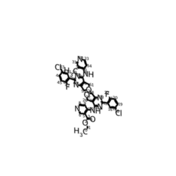 CCOC(=O)c1cnccc1Nc1nc(-c2cc(Cl)ccc2F)nc2c1COC2.Cc1cnccc1Nc1nc(-c2cc(Cl)ccc2F)nc2c1COC2